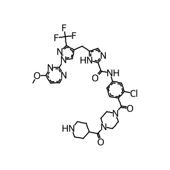 COc1ccnc(-n2cc(Cc3cnc(C(=O)Nc4ccc(C(=O)N5CCN(C(=O)C6CCNCC6)CC5)c(Cl)c4)[nH]3)c(C(F)(F)F)n2)n1